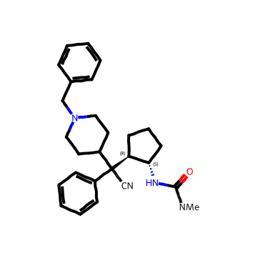 CNC(=O)N[C@H]1CCC[C@@H]1C(C#N)(c1ccccc1)C1CCN(Cc2ccccc2)CC1